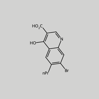 CCCc1cc2c(O)c(C(=O)O)cnc2cc1Br